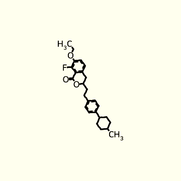 CCOc1ccc2c(c1F)C(=O)OC(CCc1ccc(C3CCC(C)CC3)cc1)C2